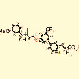 COc1cccc([C@@H](C)NCCOc2cc(-c3ccc(F)c(/C=C(\C)C(=O)O)c3)cc(C(F)(F)F)c2)c1